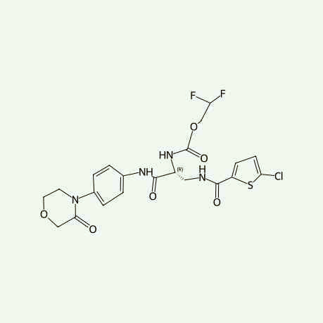 O=C(N[C@H](CNC(=O)c1ccc(Cl)s1)C(=O)Nc1ccc(N2CCOCC2=O)cc1)OCC(F)F